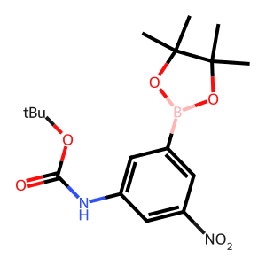 CC(C)(C)OC(=O)Nc1cc(B2OC(C)(C)C(C)(C)O2)cc([N+](=O)[O-])c1